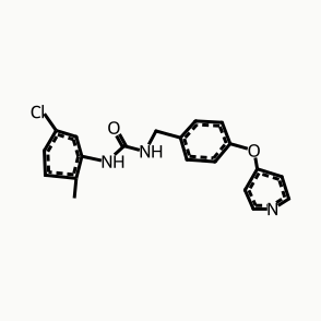 Cc1ccc(Cl)cc1NC(=O)NCc1ccc(Oc2ccncc2)cc1